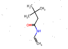 C=CNC(=O)CC(C)(C)C